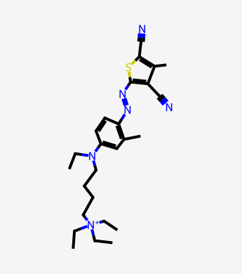 CCN(CCCC[N+](CC)(CC)CC)c1ccc(/N=N/c2sc(C#N)c(C)c2C#N)c(C)c1